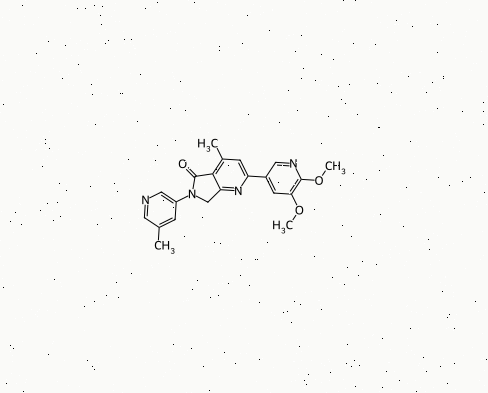 COc1cc(-c2cc(C)c3c(n2)CN(c2cncc(C)c2)C3=O)cnc1OC